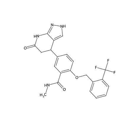 CNC(=O)c1cc(C2CC(=O)Nc3n[nH]cc32)ccc1OCc1ccccc1C(F)(F)F